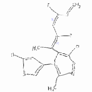 C=C/C(F)=C\C(F)=C(/C)c1c(Cl)nnc(C)c1-c1csc(Cl)c1